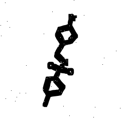 Cc1ccc(S(=O)(=O)N=Cc2ccc(Br)cc2)cc1